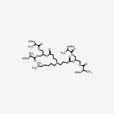 CCCCCCC(C)C(=O)OCC(COC(=O)C(C)CCCCCC)OC(=O)CCCN(CCCCCN(C)C)CCCC(=O)OC(COC(=O)C(C)CCCCCC)COC(=O)C(C)CCCCCC